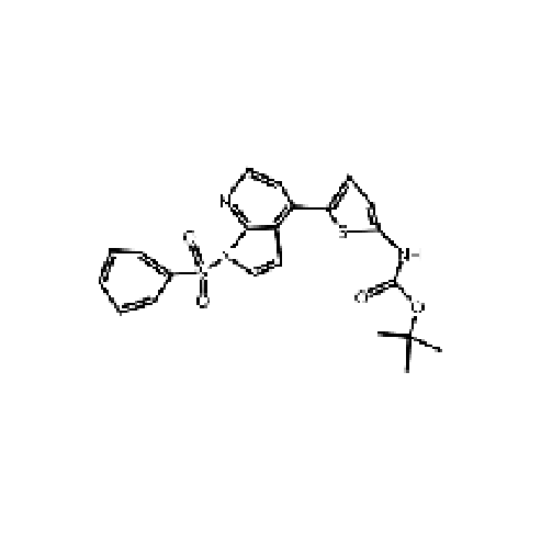 CC(C)(C)OC(=O)Nc1ccc(-c2ccnc3c2ccn3S(=O)(=O)c2ccccc2)s1